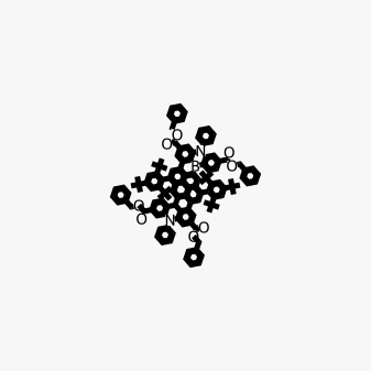 CC(C)(C)c1cc(C(C)(C)C)c(-c2cc3c4c(cc5c(-c6c(C(C)(C)C)cc(C(C)(C)C)cc6C(C)(C)C)cc6c7c(cc2c4c57)C2c4ccc(C(=O)OCc5ccccc5)cc4N(c4ccccc4)c4cc(C(=O)OCc5ccccc5)cc-6c42)B2c4ccc(C(=O)OCc5ccccc5)cc4N(c4ccccc4)c4cc(C(=O)OCc5ccccc5)cc-3c42)c(C(C)(C)C)c1